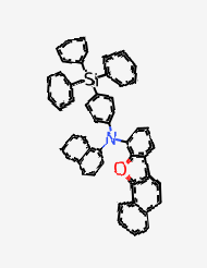 c1ccc([Si](c2ccccc2)(c2ccccc2)c2ccc(N(c3cccc4ccccc34)c3cccc4c3oc3c5ccccc5ccc43)cc2)cc1